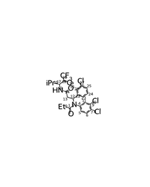 CCC(=O)N(c1ccc(Cl)c(Cl)c1)C(CC(=O)N[C@H](C(=O)C(F)(F)F)C(C)C)c1cccc(Cl)c1